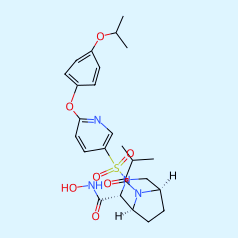 CC(C)Oc1ccc(Oc2ccc(S(=O)(=O)N3C[C@H]4CC[C@@H]([C@@H]3C(=O)NO)N4C(=O)C(C)C)cn2)cc1